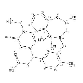 CCn1ccc(C(CC(=O)O)c2ccc(C)c(CN3C[C@@H](C)Oc4ccccc4S3(O)O)c2)cc1=O